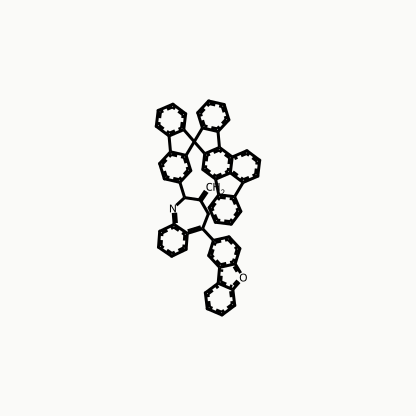 C=C1CC(c2ccc3oc4ccccc4c3c2)=c2ccccc2=NC1c1ccc2c(c1)C1(c3ccccc3-2)c2ccccc2-c2c1cc1c3c(cccc23)-c2ccccc2-1